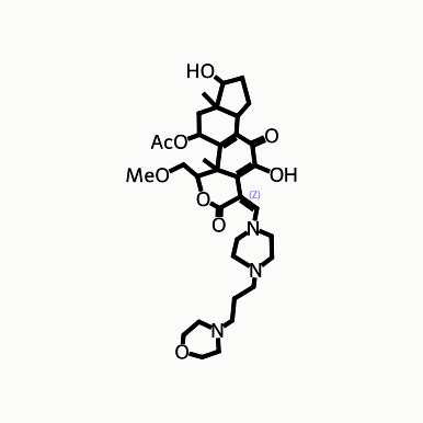 COCC1OC(=O)/C(=C\N2CCN(CCCN3CCOCC3)CC2)C2=C(O)C(=O)C3=C(C(OC(C)=O)CC4(C)C(O)CCC34)C21C